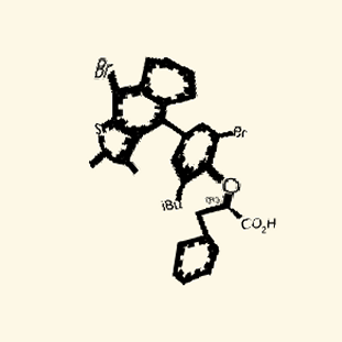 CCC(C)c1cc(-c2c3ccccc3c(Br)c3sc(C)c(C)c23)cc(Br)c1O[C@H](Cc1ccccc1)C(=O)O